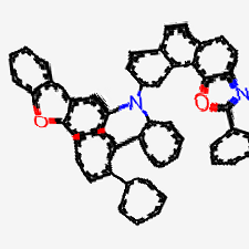 c1ccc(-c2nc3ccc4ccc5ccc(N(c6ccc7oc8ccccc8c7c6)c6ccccc6-c6ccccc6-c6ccccc6)cc5c4c3o2)cc1